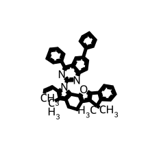 C/C=C\c1c(C)c2c(n1-c1nc(-c3ccccc3)c3cc(-c4ccccc4)ccc3n1)-c1oc3c(c1CC2)C(C)(C)c1ccccc1-3